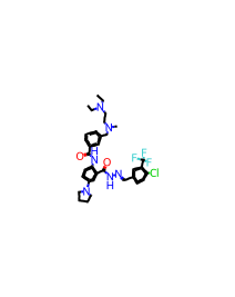 CCN(CC)CCN(C)Cc1cccc(C(=O)Nc2ccc(N3CCCC3)cc2C(=O)NN=Cc2ccc(Cl)c(C(F)(F)F)c2)c1